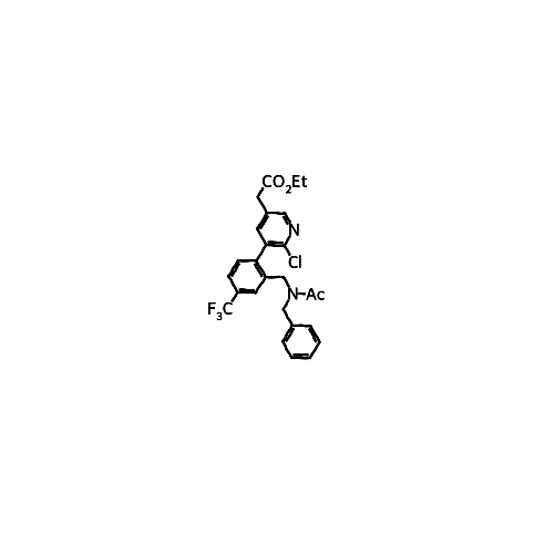 CCOC(=O)Cc1cnc(Cl)c(-c2ccc(C(F)(F)F)cc2CN(Cc2ccccc2)C(C)=O)c1